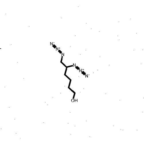 [N-]=[N+]=NCC(CCCCO)N=[N+]=[N-]